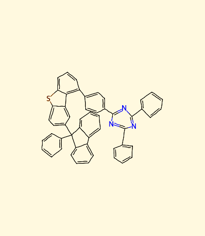 c1ccc(-c2nc(-c3ccccc3)nc(-c3ccc(-c4cccc5sc6ccc(C7(c8ccccc8)c8ccccc8-c8ccccc87)cc6c45)cc3)n2)cc1